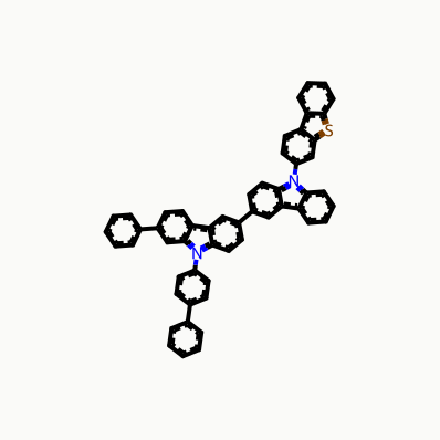 c1ccc(-c2ccc(-n3c4ccc(-c5ccc6c(c5)c5ccccc5n6-c5ccc6c(c5)sc5ccccc56)cc4c4ccc(-c5ccccc5)cc43)cc2)cc1